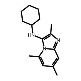 Cc1cc(C)n2c(NC3CCCCC3)c(C)nc2c1